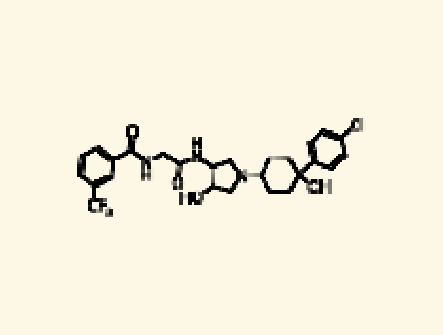 O=C(CNC(=O)c1cccc(C(F)(F)F)c1)NC1CN(C2CCC(O)(c3ccc(Cl)cc3)CC2)CC1O